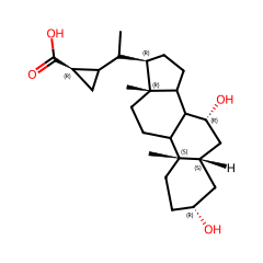 CC(C1C[C@H]1C(=O)O)[C@H]1CCC2C3C(CC[C@@]21C)[C@@]1(C)CC[C@@H](O)C[C@H]1C[C@H]3O